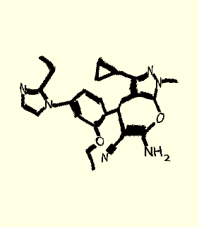 CCOc1cc(-n2ccnc2CC)ccc1C1C(C#N)=C(N)Oc2c1c(C1CC1)nn2C